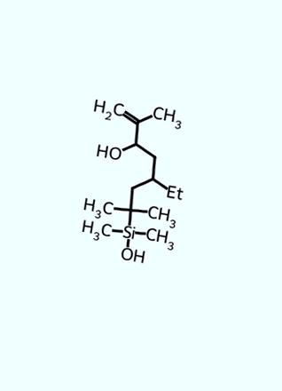 C=C(C)C(O)CC(CC)CC(C)(C)[Si](C)(C)O